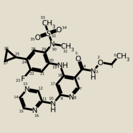 CCONC(=O)c1cnc(Nc2cnccn2)cc1Nc1cc(F)c(C2CC2)cc1N(C)S(C)(=O)=O